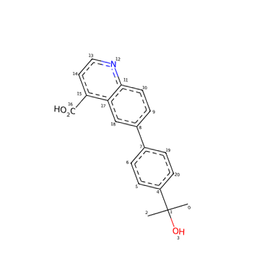 CC(C)(O)c1ccc(-c2ccc3nccc(C(=O)O)c3c2)cc1